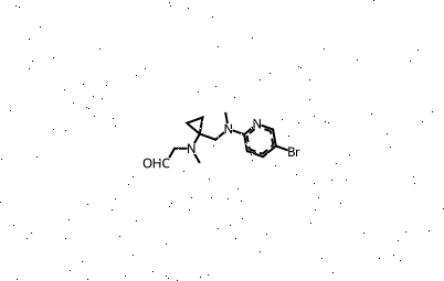 CN(CC1(N(C)CC=O)CC1)c1ccc(Br)cn1